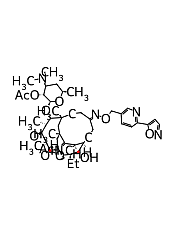 CC[C@H]1OC(=O)[C@H](C)C(=O)[C@H](C)[C@@H](O[C@@H]2O[C@H](C)C[C@H](N(C)C)[C@H]2OC(C)=O)[C@]2(C)CC/C(=N/OCc3ccc(-c4ccno4)nc3)CC[C@@H]([C@@H]1O)[C@@H](C)/C(=N/C(C)=O)[C@H](C)C2